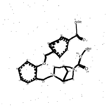 COC(=O)c1ccc(COc2ccccc2CN2CC3CC2CN3C(=O)OC(C)(C)C)cc1